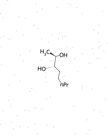 CCCCC[C@H](O)[C@@H](C)O